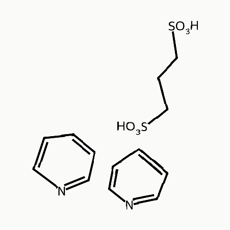 O=S(=O)(O)CCCS(=O)(=O)O.c1ccncc1.c1ccncc1